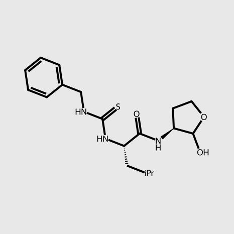 CC(C)C[C@H](NC(=S)NCc1ccccc1)C(=O)N[C@H]1CCOC1O